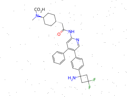 CN(C(=O)O)[C@H]1CC[C@H](CC(=O)Nc2cc(-c3ccccc3)c(-c3ccc(C4(N)CC(F)(F)C4)cc3)cn2)CC1